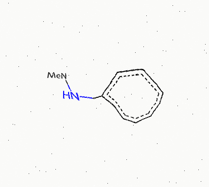 CNNc1ccccc1